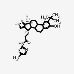 Cc1cnc(NC(=O)CC[C@@H]2c3c[nH]nc3[C@@]3(C)CCC4c5cc(C(C)(C)C)c(O)cc5CCC4C23)s1